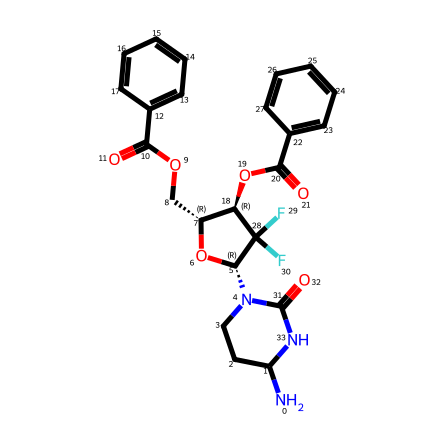 NC1CCN([C@@H]2O[C@H](COC(=O)c3ccccc3)[C@@H](OC(=O)c3ccccc3)C2(F)F)C(=O)N1